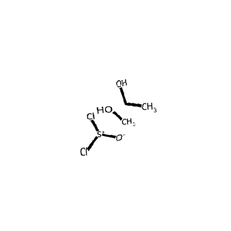 CCO.CO.[O-][S+](Cl)Cl